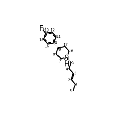 CCC=CCC[Si@H]1CC[C@H](c2ccc(F)cc2)CC1